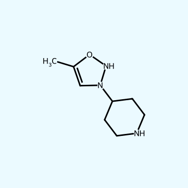 CC1=CN(C2CCNCC2)NO1